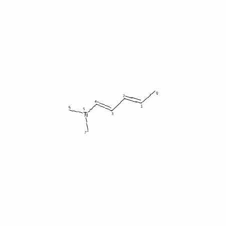 CC=CC=[CH][Ti]([CH3])[CH3]